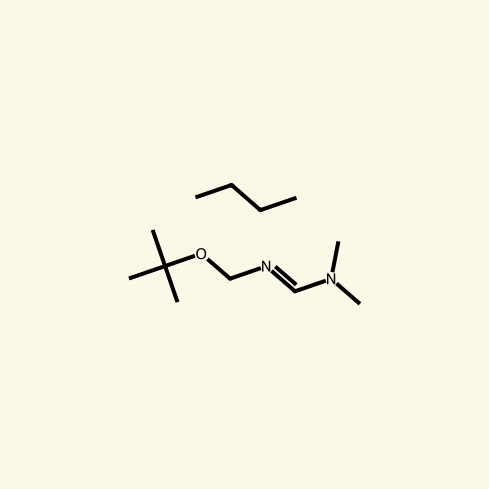 CCCC.CN(C)C=NCOC(C)(C)C